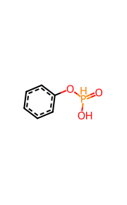 O=[PH](O)Oc1ccccc1